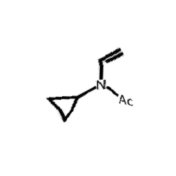 C=CN(C(C)=O)C1CC1